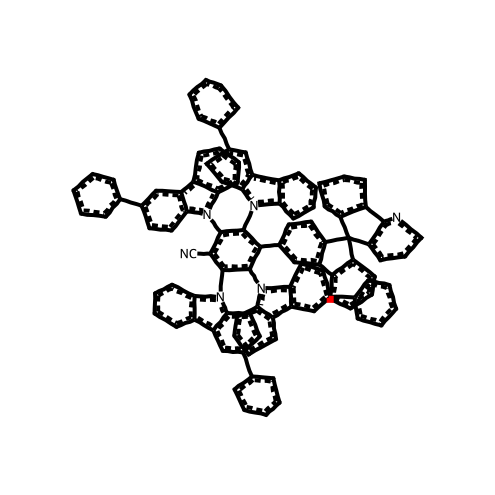 N#Cc1c(-n2c3ccccc3c3cc(-c4ccccc4)ccc32)c(-n2c3ccccc3c3cc(-c4ccccc4)ccc32)c(-c2ccc3c(c2)-c2ccccc2C32c3ccccc3-c3ncccc32)c(-n2c3ccccc3c3cc(-c4ccccc4)ccc32)c1-n1c2ccccc2c2cc(-c3ccccc3)ccc21